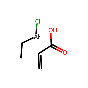 C=CC(=O)O.C[CH2][Al][Cl]